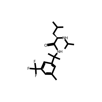 Cc1cc(C(F)(F)F)cc(C(C)(C)NC(=O)[C@@H](CC(C)C)NC(C)C)c1